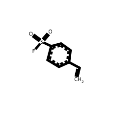 C=Cc1ccc(S(=O)(=O)F)cc1